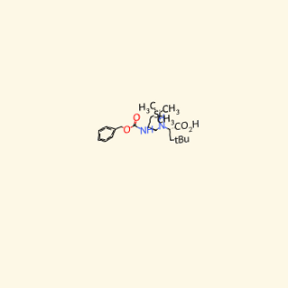 CC(C)(C)C[C@H](NC[C@H](C[Si](C)(C)C)NC(=O)OCc1ccccc1)C(=O)O